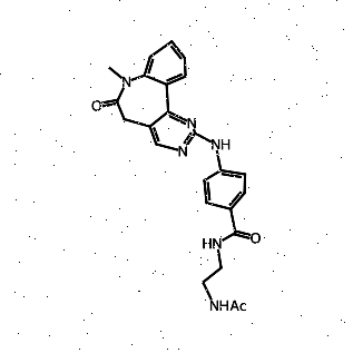 CC(=O)NCCNC(=O)c1ccc(Nc2ncc3c(n2)-c2ccccc2N(C)C(=O)C3)cc1